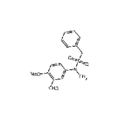 COc1ccc(N(C)S(=O)(=O)Cc2ccccc2)cc1C=O